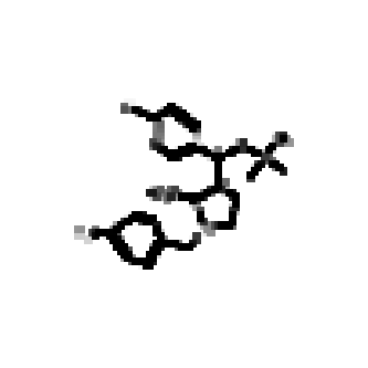 CC(C)(C)[Si](C)(C)O[C@H](c1ccc(Cl)nc1)[C@H]1CC[C@H](Cc2ccc([N+](=O)[O-])cc2)N1C(=O)O